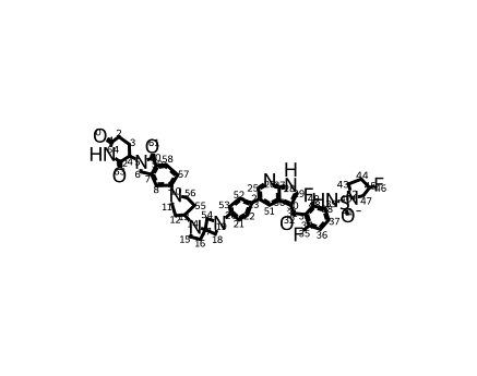 O=C1CCC(N2Cc3cc(N4CCC(N5CCC56CN(c5ccc(-c7cnc8[nH]cc(C(=O)c9c(F)ccc(N[S+]([O-])N%10CCC(F)C%10)c9F)c8c7)cc5)C6)CC4)ccc3C2=O)C(=O)N1